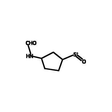 O=CNC1CCC([S+]=O)C1